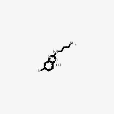 Cl.NCCCNc1nc2cc(Br)ccc2o1